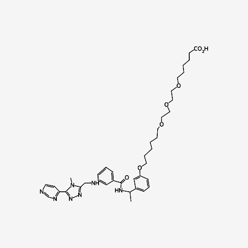 CC(NC(=O)c1cccc(NCc2nnc(-c3ccncn3)n2C)c1)c1cccc(OCCCCCCOCCOCCOCCCCCC(=O)O)c1